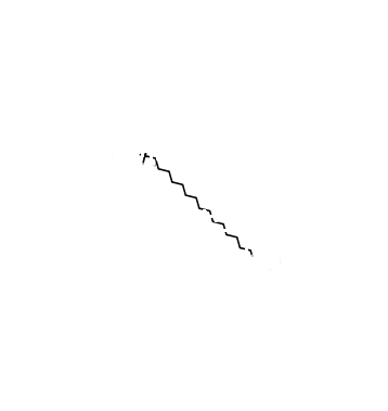 CCCC(CCC)(CCCCCCCCCCCCCCCC(=O)O)C(=O)O